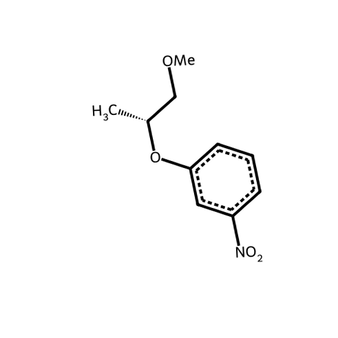 COC[C@@H](C)Oc1cccc([N+](=O)[O-])c1